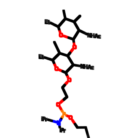 CCC1OC(OC2C(C)C(CC)OC(OCCOP(OCCC#N)N(C(C)C)C(C)C)C2NC(C)=O)C(NC(C)=O)C(C)C1C